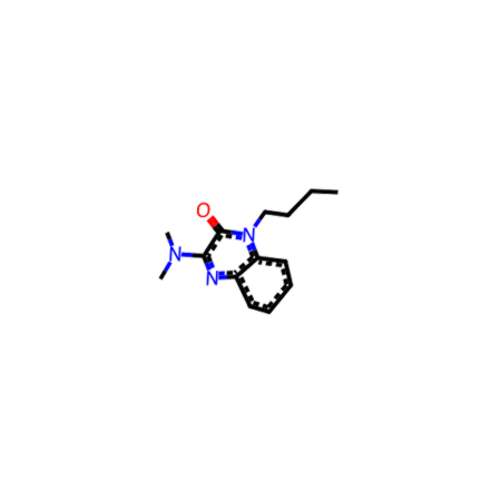 CCCCn1c(=O)c(N(C)C)nc2ccccc21